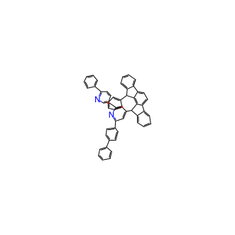 c1ccc(-c2ccc(-c3cc(C4c5ccccc5-c5ccc6c(c54)C(c4ccccc4)c4ccccc4-6)cc(-c4ccc(-c5ccccc5)nc4)n3)cc2)cc1